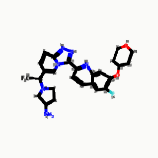 NC1CCN([C@H](c2ccc3nnc(-c4ccc5cc(F)c(OC6CCOCC6)cc5n4)n3c2)C(F)(F)F)C1